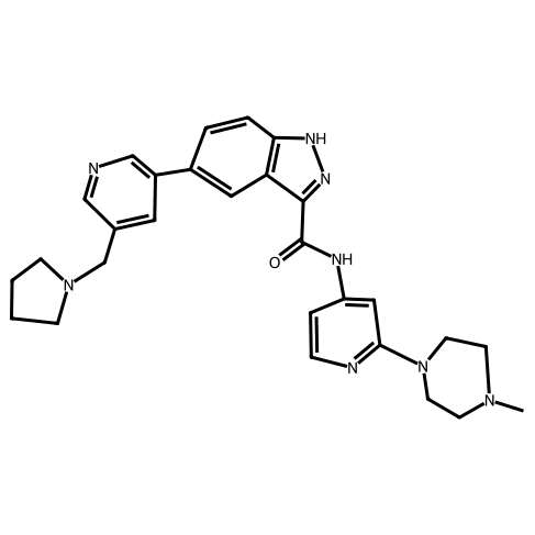 CN1CCN(c2cc(NC(=O)c3n[nH]c4ccc(-c5cncc(CN6CCCC6)c5)cc34)ccn2)CC1